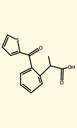 CC(C(=O)O)c1ccccc1C(=O)c1cccs1